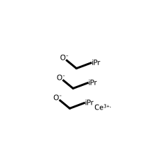 CC(C)C[O-].CC(C)C[O-].CC(C)C[O-].[Ce+3]